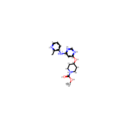 Cc1ncccc1Nc1cc(OC2CCN(C(=O)OC(C)(C)C)CC2)ncn1